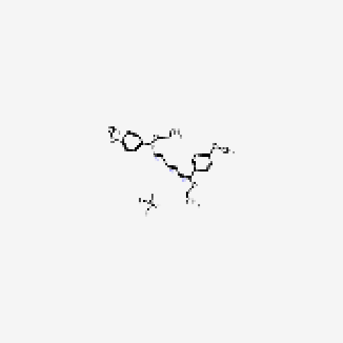 CCO/C(=C/C=C/C=C/[C+](OCC)c1ccc(OC)cc1)c1ccc(OC)cc1.F[B-](F)(F)F